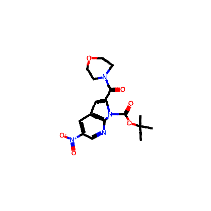 CC(C)(C)OC(=O)n1c(C(=O)N2CCOCC2)cc2cc([N+](=O)[O-])cnc21